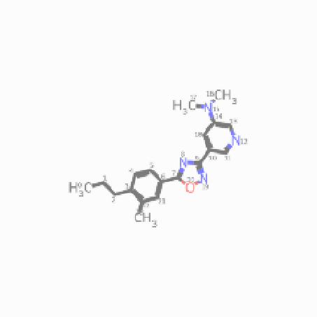 CCCc1ccc(-c2nc(-c3cncc(N(C)C)c3)no2)cc1C